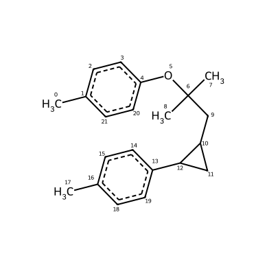 Cc1ccc(OC(C)(C)CC2CC2c2ccc(C)cc2)cc1